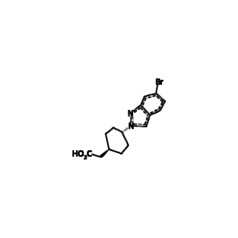 O=C(O)C[C@H]1CC[C@H](n2cc3ccc(Br)cc3n2)CC1